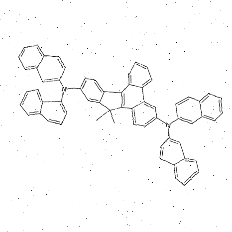 CC1(C)c2cc(N(c3ccc4ccccc4c3)c3cccc4ccccc34)ccc2-c2c1c1ccc(N(c3ccc4ccccc4c3)c3ccc4ccccc4c3)cc1c1ccccc21